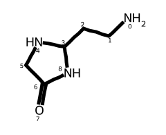 NCCC1NCC(=O)N1